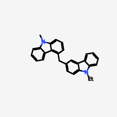 CCn1c2ccccc2c2cc(Cc3cccc4c3c3ccccc3n4C)ccc21